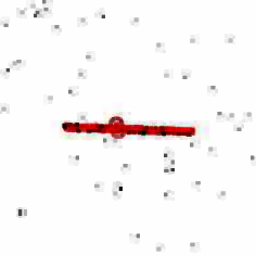 CCCCCCCCCCCCCCCCCCCCCCCCCCCCCOC(=O)CCCCCCCCCCCCCCCCCCCCC